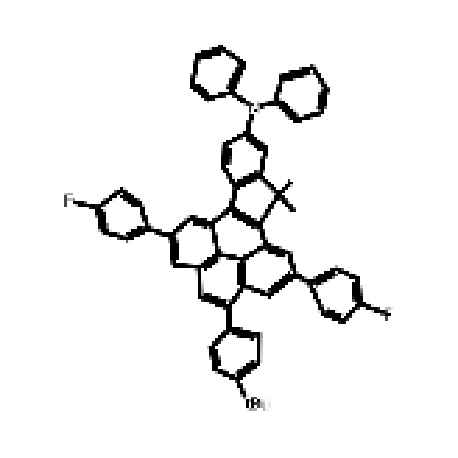 CC(C)(C)c1ccc(-c2cc3cc(-c4ccc(F)cc4)cc4c5c(c6cc(-c7ccc(F)cc7)cc2c6c34)C(C)(C)c2cc(N(c3ccccc3)c3ccccc3)ccc2-5)cc1